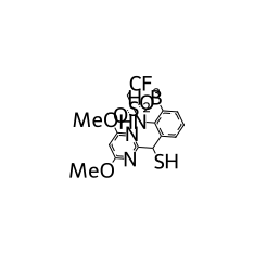 Bc1cccc(C(S)c2nc(OC)cc(OC)n2)c1NS(=O)(=O)CC(F)(F)F